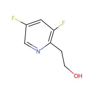 OCCc1ncc(F)cc1F